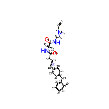 C#CCN(C)CCNC(=O)C(C)(C)NC(=O)C/C=C/c1ccc(Cc2ccccc2C)cc1